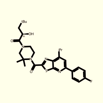 CC(C)c1cc(-c2ccc(F)cc2)nc2sc(C(=O)N3CCN(C(=O)[C@H](O)CC(C)(C)C)CC3(C)C)nc12